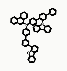 C1=Cc2c(N(c3ccc(-c4cccc(-c5cccc6c5oc5ccccc56)c4)cc3)c3ccc(-c4ccc(-c5ccccc5)cc4-n4c5ccccc5c5ccccc54)cc3)cc3ccccc3c2CC1